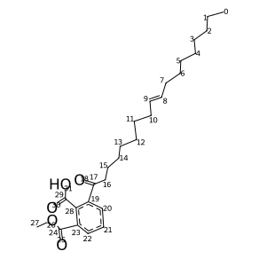 CCCCCCCCC=CCCCCCCCC(=O)c1cccc(C(=O)OC)c1C(=O)O